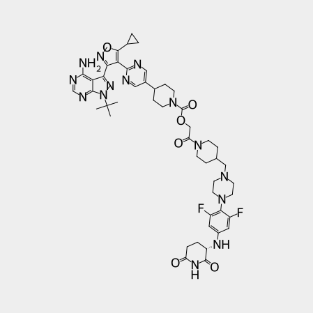 CC(C)(C)n1nc(-c2noc(C3CC3)c2-c2ncc(C3CCN(C(=O)OCC(=O)N4CCC(CN5CCN(c6c(F)cc(N[C@H]7CCC(=O)NC7=O)cc6F)CC5)CC4)CC3)cn2)c2c(N)ncnc21